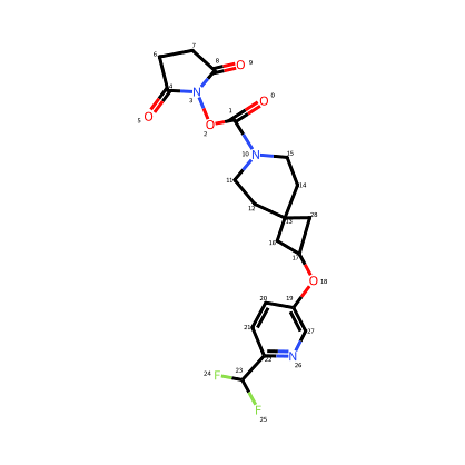 O=C(ON1C(=O)CCC1=O)N1CCC2(CC1)CC(Oc1ccc(C(F)F)nc1)C2